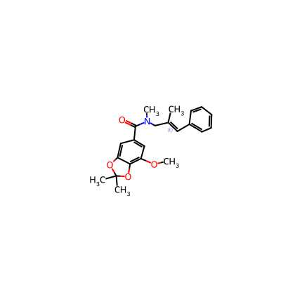 COc1cc(C(=O)N(C)C/C(C)=C/c2ccccc2)cc2c1OC(C)(C)O2